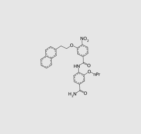 CCCOc1cc(C(N)=O)ccc1NC(=O)c1ccc([N+](=O)[O-])c(OCCc2ccc3ccccc3c2)c1